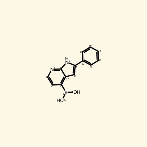 OB(O)c1ccnc2[nH]c(-c3ccccc3)cc12